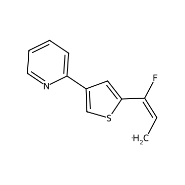 [CH2]/C=C(/F)c1cc(-c2ccccn2)cs1